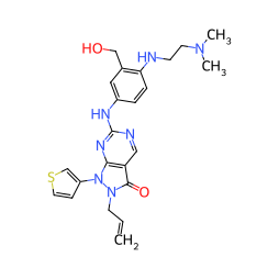 C=CCn1c(=O)c2cnc(Nc3ccc(NCCN(C)C)c(CO)c3)nc2n1-c1ccsc1